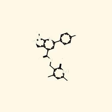 Cc1cc(C)c(CNC(=O)c2cc(-c3ccc(F)cc3)nc3c2cnn3C(C)C)c(=O)[nH]1